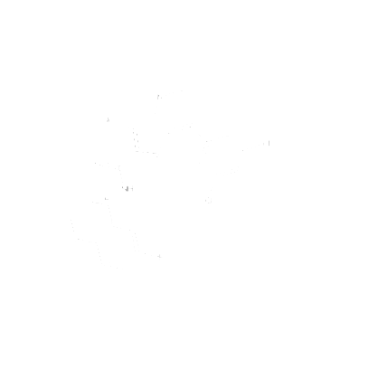 CC(=O)c1c(C(=O)N[C@H]2CCOc3ccc(F)cc32)sc2c(-c3cc(Cl)cc(Cl)c3)ccnc12